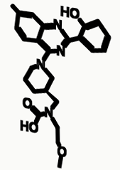 COCCN(C[C@H]1CCCN(c2nc(-c3ccccc3O)nc3cc(C)ccc23)C1)C(=O)O